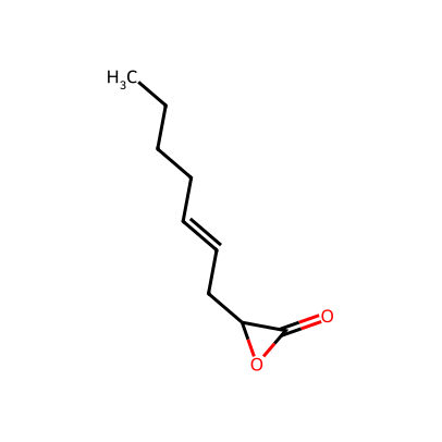 CCCCC=CCC1OC1=O